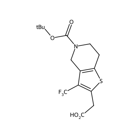 CC(C)(C)OC(=O)N1CCc2sc(CC(=O)O)c(C(F)(F)F)c2C1